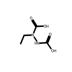 CCN(NC(=O)O)C(=O)O